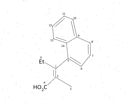 CC/C(=C(/C)C(=O)O)c1cccc2ccccc12